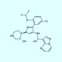 OC(Nc1cn([C@@H]2CCNC[C@H]2O)nc1-c1cc(Cl)ccc1OC(F)F)c1cnn2cccnc12